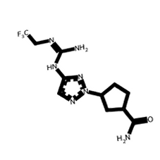 NC(=O)C1CCC(n2ncc(N/C(N)=N\CC(F)(F)F)n2)C1